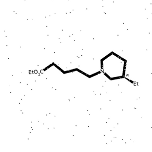 CCOC(=O)CCCCN1CCC[C@@H](CC)C1